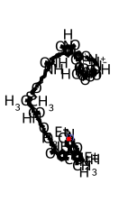 CC/N=c1/cc2oc3cc(NCC)c(C)cc3c(-c3cc(C(=O)NCCOCCOCCNC(=O)OCCC(C)(C)SSCOCCCCCNC(=O)NCC#Cc4cn([C@H]5C[C@H](OCN=[N+]=[N-])[C@@H](COP(=O)(O)OP(=O)(O)OP(=O)(O)O)O5)c(=O)[nH]c4=O)ccc3C(=O)O)c-2cc1C